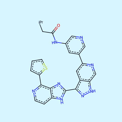 CC(C)CC(=O)Nc1cncc(-c2cc3c(-c4nc5c(-c6cccs6)nccc5[nH]4)n[nH]c3cn2)c1